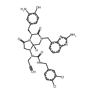 C#CCN(C(=O)NCc1ccc(Cl)c(Cl)c1)N1CC(=O)N2[C@@H](Cc3ccc(O)c(N)c3)C(=O)N(Cc3cccc4sc(N)nc34)C[C@@H]21